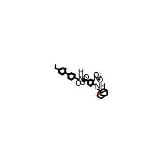 CCc1ccc(-c2ccc(C(=O)NS(=O)(=O)c3ccc(NCC45CC6CC(CC(C6)C4)C5)c([N+](=O)[O-])c3)cc2)cc1